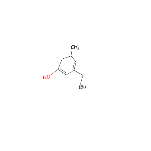 CC1C=C(CC(C)(C)C)C=C(O)C1